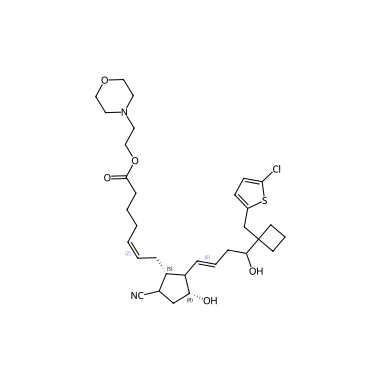 N#CC1C[C@@H](O)C(/C=C/CC(O)C2(Cc3ccc(Cl)s3)CCC2)[C@H]1C/C=C\CCCC(=O)OCCN1CCOCC1